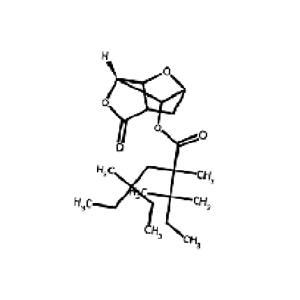 CCC(C)(CC)CC(C)(C(=O)OC1C2CC3C(=O)O[C@@H]1C3O2)C(C)(C)CC